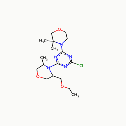 CCOCC1COCC(C)N1c1nc(Cl)nc(N2CCOCC2(C)C)n1